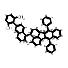 Cc1cccc(C)c1-c1ccc2c(ccc3oc4ccc5c6c(-c7ccccc7)c7ccccc7c(-c7ccccc7)c6c6ccc(c32)c4c56)c1